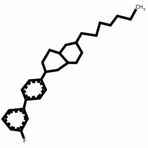 CCCCCCCC1CCC2CC(c3ccc(-c4cccc(F)c4)cc3)CCC2C1